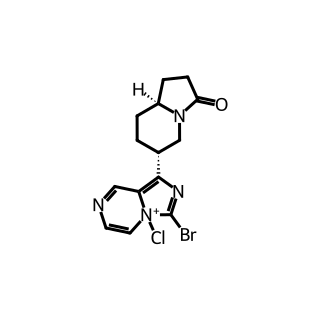 O=C1CC[C@@H]2CC[C@@H](C3=C4C=NC=C[N+]4(Cl)C(Br)=N3)CN12